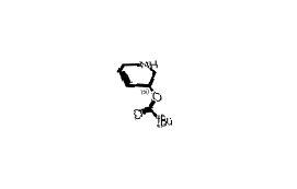 CC(C)(C)C(=O)O[C@H]1C=CCNC1